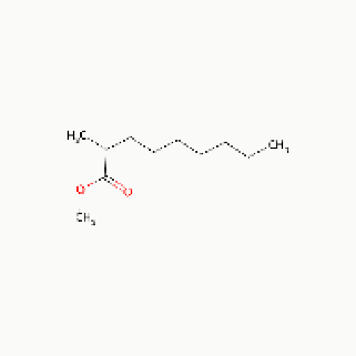 CCCCCCCC(C)C(=O)OC